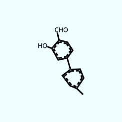 Cc1ccc(-c2ccc(C=O)c(O)c2)cc1